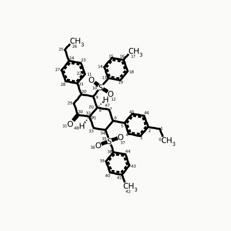 CCc1ccc(C2C[C@@H]3C(S(=O)(=O)c4ccc(C)cc4)C(c4ccc(CC)cc4)CC(=O)[C@@H]3CC2S(=O)(=O)c2ccc(C)cc2)cc1